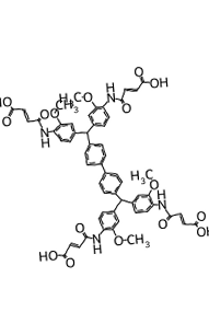 COc1cc(C(c2ccc(-c3ccc(C(c4ccc(NC(=O)/C=C/C(=O)O)c(OC)c4)c4ccc(NC(=O)/C=C/C(=O)O)c(OC)c4)cc3)cc2)c2ccc(NC(=O)/C=C/C(=O)O)c(OC)c2)ccc1NC(=O)/C=C/C(=O)O